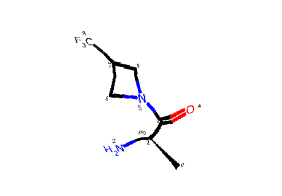 C[C@@H](N)C(=O)N1CC(C(F)(F)F)C1